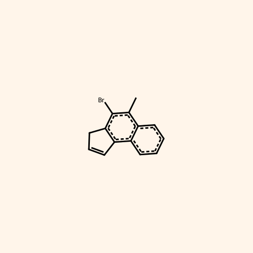 Cc1c(Br)c2c(c3ccccc13)C=CC2